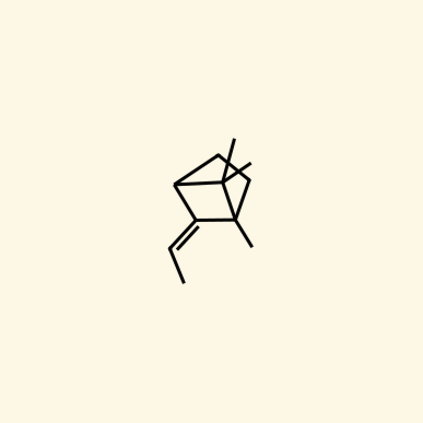 C/C=C1/C2CCC1(C)C2(C)C